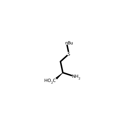 CCCCSC[C@@H](N)C(=O)O